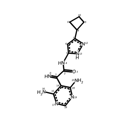 N=C(C(=O)Nc1cc(C2CCC2)n[nH]1)c1c(N)ncnc1N